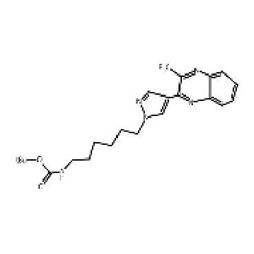 CC(C)(C)OC(=O)NCCCCCCn1cc(-c2nc3ccccc3nc2C(F)(F)F)cn1